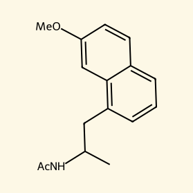 COc1ccc2cccc(CC(C)NC(C)=O)c2c1